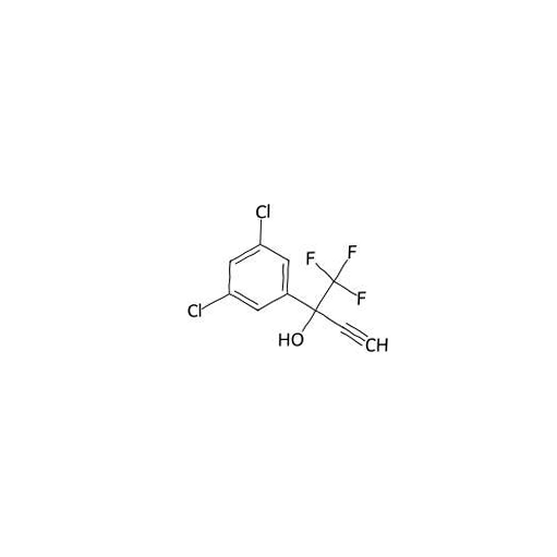 C#CC(O)(c1cc(Cl)cc(Cl)c1)C(F)(F)F